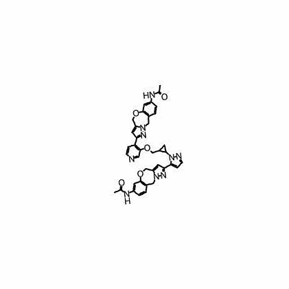 CC(=O)Nc1ccc2c(c1)OCc1cc(-c3ccncc3OCC3CC3n3nccc3-c3cc4n(n3)Cc3ccc(NC(C)=O)cc3OC4)nn1C2